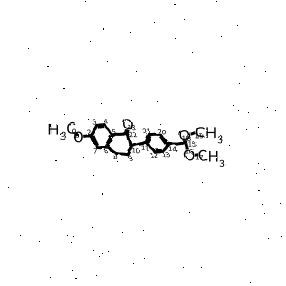 COc1ccc2c(c1)CCC(c1ccc(C(OC)OC)cc1)C2=O